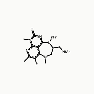 CCCN1c2nc(=O)n(C)c3nc(C)c(F)c(c23)N(C)CC1CNC